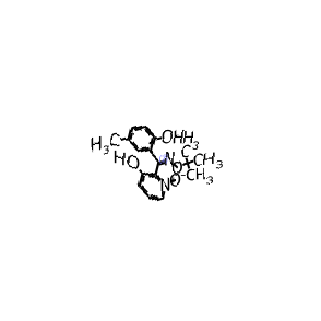 Cc1ccc(O)c(/C(=N/OC(C)(C)C)c2c(O)ccc[n+]2[O-])c1